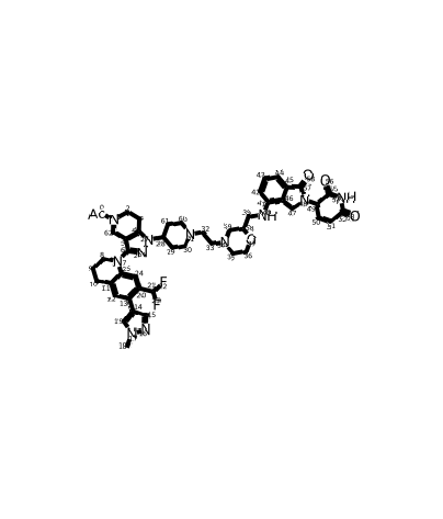 CC(=O)N1CCc2c(c(N3CCCc4cc(-c5cnn(C)c5)c(C(F)F)cc43)nn2C2CCN(CCN3CCOC(CNc4cccc5c4CN(C4CCC(=O)NC4=O)C5=O)C3)CC2)C1